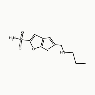 CCCNCc1cc2cc(S(N)(=O)=O)oc2s1